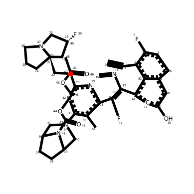 C#Cc1c(F)ccc2cc(O)cc(/C(N=C)=C(\F)c3nc(OC[C@@]45CCCN4C[C@H](F)C5)nc(N4CC5CCC(C4)N5C(=O)OCOC(C)=O)c3C)c12